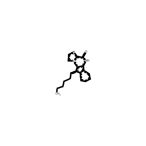 CCCCCC=c1c2ccccc2c2[nH]c(=O)c3nccn3c12